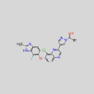 Cc1nc2ccc(Oc3ccc4ncc(-c5cnn(C(O)C(C)C)c5)nc4c3Cl)c(F)c2[nH]1